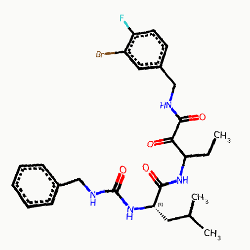 CCC(NC(=O)[C@H](CC(C)C)NC(=O)NCc1ccccc1)C(=O)C(=O)NCc1ccc(F)c(Br)c1